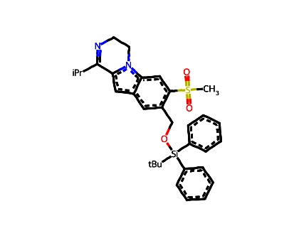 CC(C)C1=NCCn2c1cc1cc(CO[Si](c3ccccc3)(c3ccccc3)C(C)(C)C)c(S(C)(=O)=O)cc12